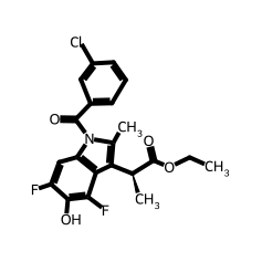 CCOC(=O)[C@@H](C)c1c(C)n(C(=O)c2cccc(Cl)c2)c2cc(F)c(O)c(F)c12